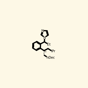 CCCCCCCCCCC[C@@H](CC(C)C)c1ccccc1C(CC)n1ccnc1